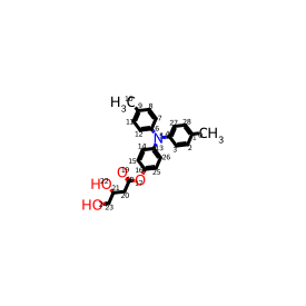 Cc1ccc(N(c2ccc(C)cc2)c2ccc(OC(=O)CC(O)CO)cc2)cc1